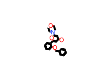 O=c1cc(-c2ccccc2OCc2ccccc2)oc(N2CCOCC2)c1